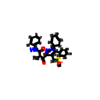 N#CC(C(=O)Nc1ccccc1)C(=O)c1nn(-c2ccccc2)c2c1C[S+]([O-])c1ccccc1-2